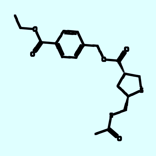 CCOC(=O)c1ccc(COC(=O)[C@@H]2CS[C@@H](CSC(C)=O)C2)cc1